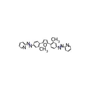 Cc1cc(/N=N/c2ccccn2)ccc1-c1ccc(-c2ccc(/N=N/c3ccccn3)cc2C)o1